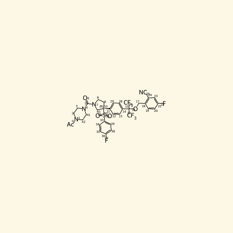 CC(=O)N1CCN(C(=O)N2CC[C@](c3ccc(C(OCc4ccc(F)cc4C#N)(C(F)(F)F)C(F)(F)F)cc3)(S(=O)(=O)c3ccc(F)cc3)C2)CC1